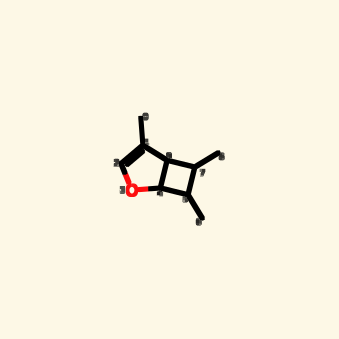 CC1=COC2C(C)C(C)C12